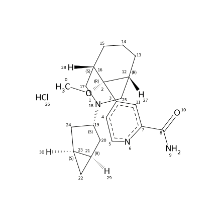 CO[C@@]1(c2ccnc(C(N)=O)c2)[C@@H]2CCC[C@H]1CN([C@@H]1C[C@H]3C[C@H]3C1)C2.Cl